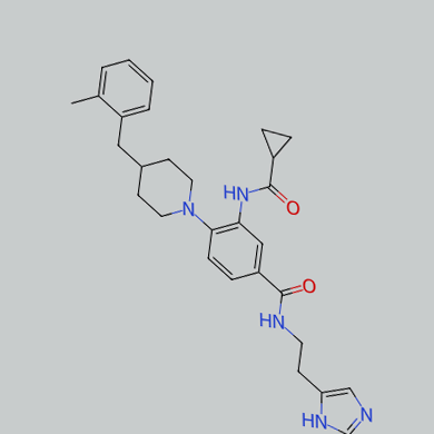 Cc1ccccc1CC1CCN(c2ccc(C(=O)NCCc3cnc[nH]3)cc2NC(=O)C2CC2)CC1